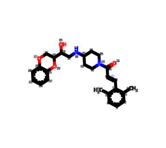 Cc1cccc(C)c1/C=C/C(=O)N1CCC(NCC(O)C2COc3ccccc3O2)CC1